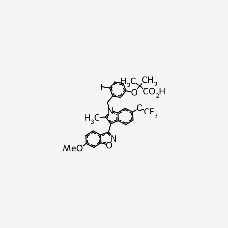 COc1ccc2c(-c3c(C)n(Cc4cc(OC(C)(C)C(=O)O)ccc4I)c4cc(OC(F)(F)F)ccc34)noc2c1